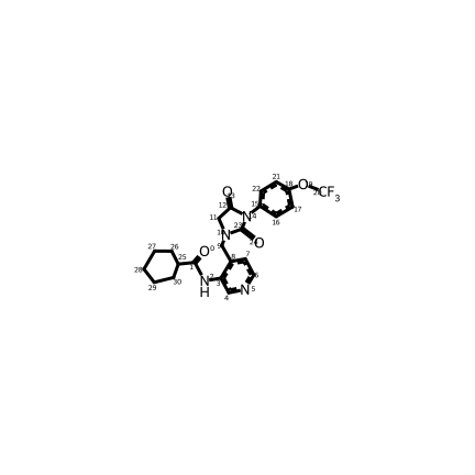 O=C(Nc1cnccc1CN1CC(=O)N(c2ccc(OC(F)(F)F)cc2)C1=O)C1CCCCC1